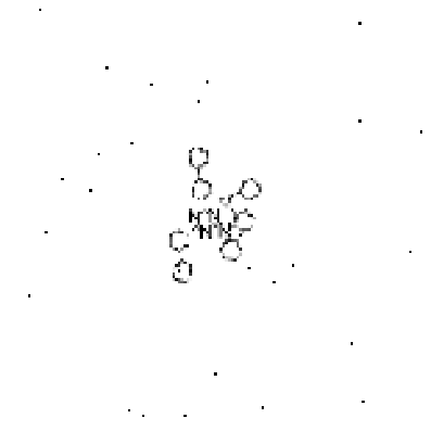 c1ccc(-c2ccc(-c3nc(-c4cccc(-c5ccccc5)c4)nc(-n4c5ccccc5c5ccc6c(c54)C4CC4c4ccccc4-6)n3)cc2)cc1